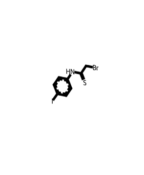 S=C(CBr)Nc1ccc(I)cc1